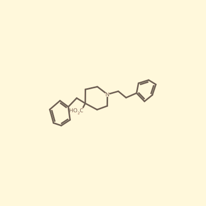 O=C(O)C1(Cc2ccccc2)CCN(CCc2ccccc2)CC1